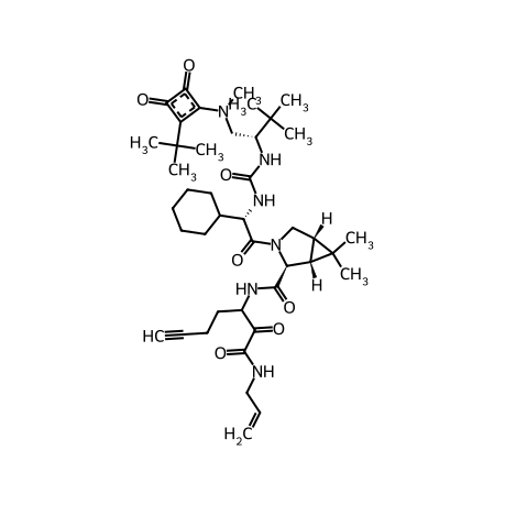 C#CCCC(NC(=O)[C@@H]1[C@@H]2[C@H](CN1C(=O)[C@@H](NC(=O)N[C@H](CN(C)c1c(C(C)(C)C)c(=O)c1=O)C(C)(C)C)C1CCCCC1)C2(C)C)C(=O)C(=O)NCC=C